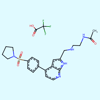 CC(=O)NCCNCc1cc2c(-c3ccc(S(=O)(=O)N4CCCC4)cc3)ccnc2[nH]1.O=C(O)C(F)(F)F